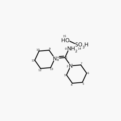 NC(N1CCCCC1)=[N+]1CCCCC1.O=S(=O)(O)O